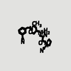 CC1CC(NCC(N)C(=O)N2CCC[C@H]2C#N)CON1Cc1cccc(C#N)c1